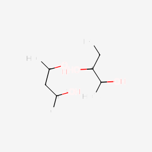 CC(O)CC(C)O.CCC(O)C(C)O